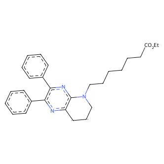 CCOC(=O)CCCCCCN1C[CH][CH]c2nc(-c3ccccc3)c(-c3ccccc3)nc21